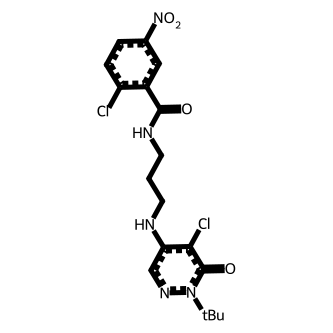 CC(C)(C)n1ncc(NCCCNC(=O)c2cc([N+](=O)[O-])ccc2Cl)c(Cl)c1=O